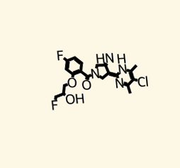 CC1=N/C(=C2\CN(C(=O)c3ccc(F)cc3OCC(O)CF)CC2=N)NC(C)=C1Cl